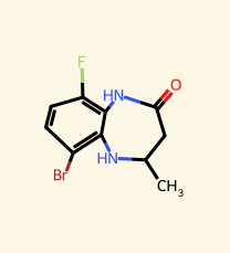 CC1CC(=O)Nc2c(F)ccc(Br)c2N1